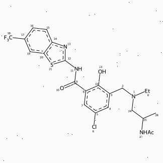 CCN(Cc1cc(Cl)cc(C(=O)Nc2nc3ccc(C(F)(F)F)cc3s2)c1O)CC(C)NC(C)=O